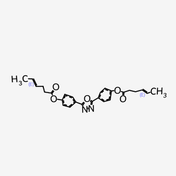 C/C=C/CCC(=O)Oc1ccc(-c2nnc(-c3ccc(OC(=O)CC/C=C/C)cc3)o2)cc1